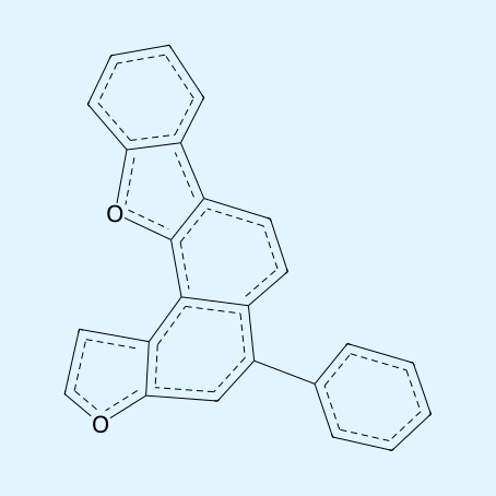 c1ccc(-c2cc3occc3c3c2ccc2c4ccccc4oc23)cc1